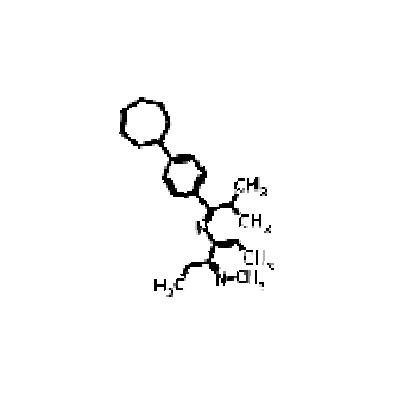 C/C=C(/N=C(/c1ccc(C2CCCCCC2)cc1)C(C)C)C(\CC)=N/C